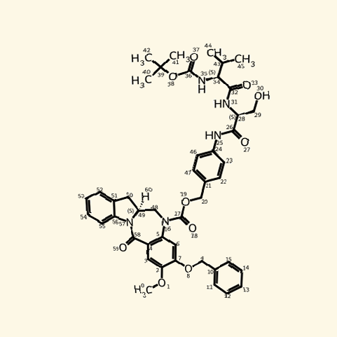 COc1cc2c(cc1OCc1ccccc1)N(C(=O)OCc1ccc(NC(=O)[C@H](CO)NC(=O)[C@@H](NC(=O)OC(C)(C)C)C(C)C)cc1)C[C@@H]1Cc3ccccc3N1C2=O